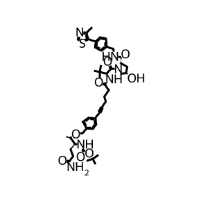 Cc1ncsc1-c1ccc(CNC(=O)[C@@H]2C[C@@H](O)CN2C(=O)[C@@H](NC(=O)CCCC#Cc2ccc(CO[C@H](C)[C@H](CCC(N)=O)NC(=O)OC(C)(C)C)cc2)C(C)(C)C)cc1